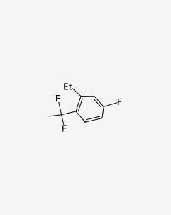 CCc1cc(F)ccc1C(C)(F)F